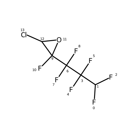 FC(F)C(F)(F)C(F)(F)C1(F)OC1Cl